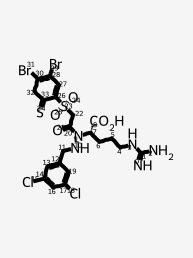 N=C(N)NCCC[C@@H](C(=O)O)N(NCc1cc(Cl)cc(Cl)c1)C(=O)CS(=O)(=O)C1=CC(Br)=C(Br)CC1=S